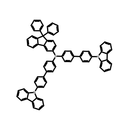 c1ccc(C2(c3ccccc3)c3ccccc3-c3cc(N(c4ccc(-c5ccc(-n6c7ccccc7c7ccccc76)cc5)cc4)c4ccc(-c5ccc(-n6c7ccccc7c7ccccc76)cc5)cc4)ccc32)cc1